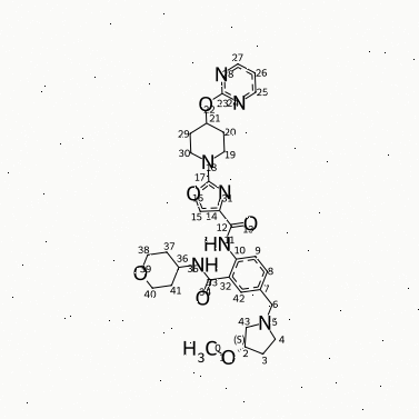 CO[C@H]1CCN(Cc2ccc(NC(=O)c3coc(N4CCC(Oc5ncccn5)CC4)n3)c(C(=O)NC3CCOCC3)c2)C1